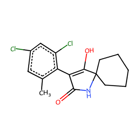 Cc1cc(Cl)cc(Cl)c1C1=C(O)C2(CCCCC2)NC1=O